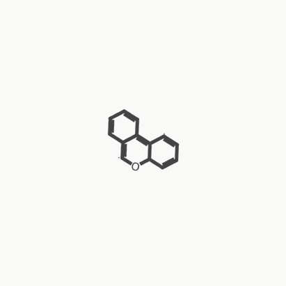 [C]1=CC=CC2O[C]=c3ccccc3=C12